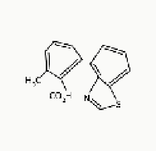 Cc1ccccc1C(=O)O.c1ccc2scnc2c1